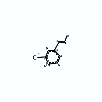 CC=Cc1ccnc(Cl)c1